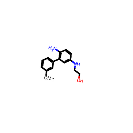 COc1cccc(-c2cc(NCCO)ccc2N)c1